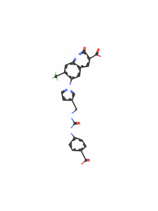 O=C(NCc1ccn(-c2cc3cc(C(=O)O)c(=O)[nH]c3cc2C(F)(F)F)c1)Nc1ccc(C(=O)O)cc1